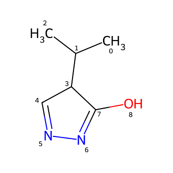 CC(C)C1C=NN=C1O